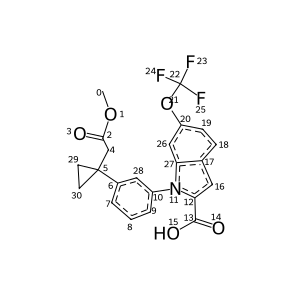 COC(=O)CC1(c2cccc(-n3c(C(=O)O)cc4ccc(OC(F)(F)F)cc43)c2)CC1